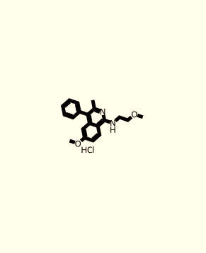 COCCNc1nc(C)c(-c2ccccc2)c2cc(OC)ccc12.Cl